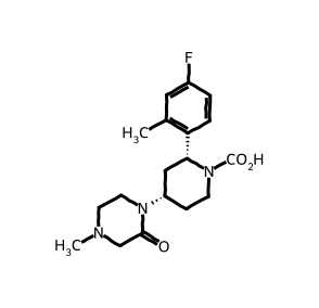 Cc1cc(F)ccc1[C@H]1C[C@@H](N2CCN(C)CC2=O)CCN1C(=O)O